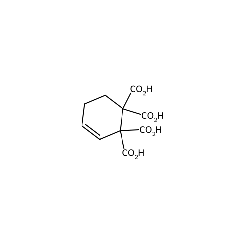 O=C(O)C1(C(=O)O)C=CCCC1(C(=O)O)C(=O)O